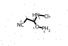 N#CCC(NCl)OP